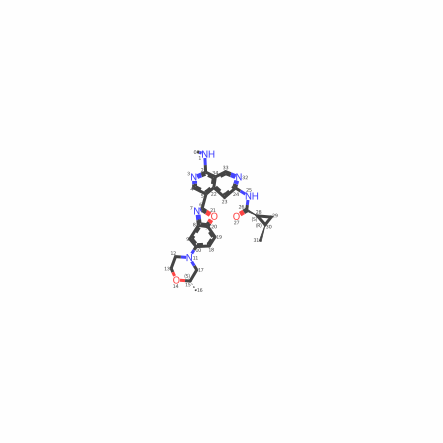 CNc1ncc(-c2nc3cc(N4CCO[C@@H](C)C4)ccc3o2)c2cc(NC(=O)[C@H]3C[C@H]3C)ncc12